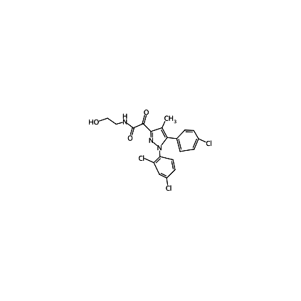 Cc1c(C(=O)C(=O)NCCO)nn(-c2ccc(Cl)cc2Cl)c1-c1ccc(Cl)cc1